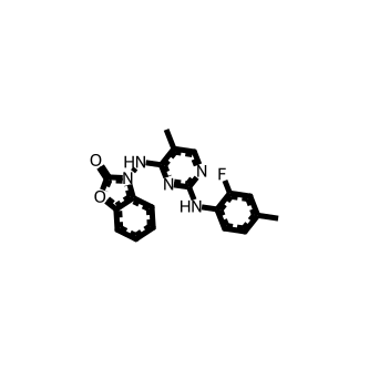 Cc1ccc(Nc2ncc(C)c(Nn3c(=O)oc4ccccc43)n2)c(F)c1